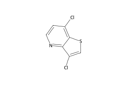 Clc1csc2c(Cl)ccnc12